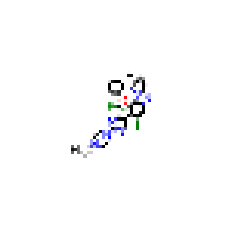 CN1CCN(c2ncc(-c3cc4c(cc3F)nc3n4[C@@H](c4ccccc4OC(F)F)[C@H]4C[C@@H]34)cn2)CC1